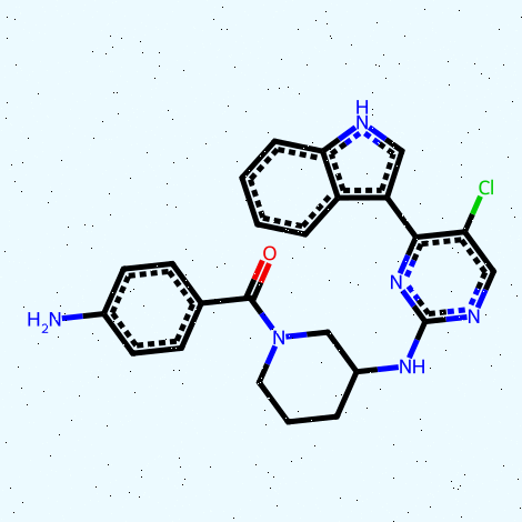 Nc1ccc(C(=O)N2CCCC(Nc3ncc(Cl)c(-c4c[nH]c5ccccc45)n3)C2)cc1